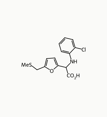 CSCc1ccc(C(Nc2ccccc2Cl)C(=O)O)o1